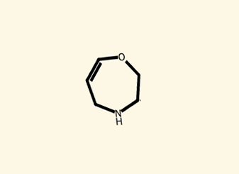 [CH]1COC=CCN1